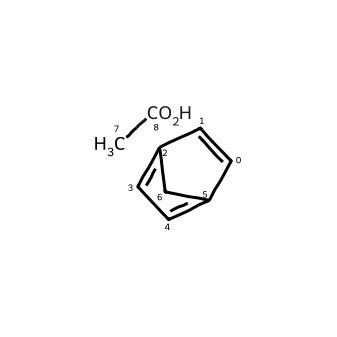 C1=CC2=CC=C1C2.CC(=O)O